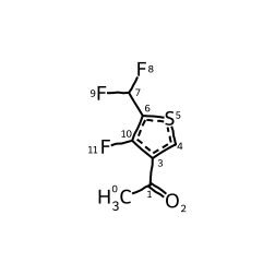 CC(=O)c1csc(C(F)F)c1F